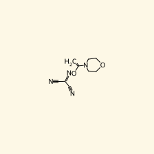 C=C(ON=C(C#N)C#N)N1CCOCC1